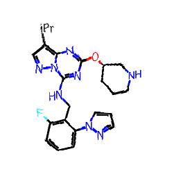 CC(C)c1cnn2c(NCc3c(F)cccc3-n3cccn3)nc(O[C@@H]3CCCNC3)nc12